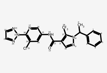 CC(c1ccccc1)n1ncc(C(=O)Nc2cnc(-n3nccn3)c(Cl)c2)c1C(F)(F)F